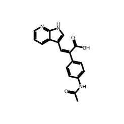 CC(=O)Nc1ccc(/C(=C/c2c[nH]c3ncccc23)C(=O)O)cc1